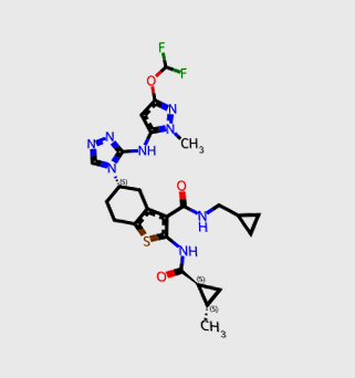 C[C@H]1C[C@@H]1C(=O)Nc1sc2c(c1C(=O)NCC1CC1)C[C@@H](n1cnnc1Nc1cc(OC(F)F)nn1C)CC2